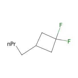 CCCCC1CC(F)(F)C1